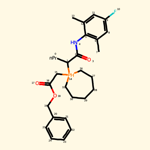 CCCC(C(=O)Nc1c(C)cc(F)cc1C)[PH]1(CC(=O)OCc2ccccc2)CCCCCC1